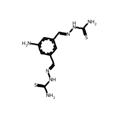 NC(=S)NN=Cc1cc(N)cc(C=NNC(N)=S)c1